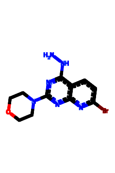 NNc1nc(N2CCOCC2)nc2nc(Br)ccc12